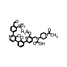 COc1cc(-c2nccc(-c3cccc(-c4ccc(CN(C(=O)O)C5CCN(C(C)=O)CC5)c(OC)n4)c3Cl)c2Cl)ccc1C=O